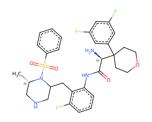 C[C@H]1CNCC(Cc2c(F)cccc2NC(=O)[C@@H](N)C2(c3cc(F)cc(F)c3)CCOCC2)N1S(=O)(=O)c1ccccc1